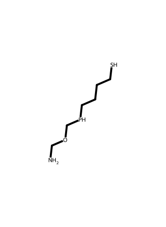 NCOCPCCCCS